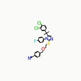 CC(C)(c1ccc(Cl)c(Cl)c1)c1cnc(SCCOCc2ccc(C#N)cc2)n1-c1ccc(F)cc1